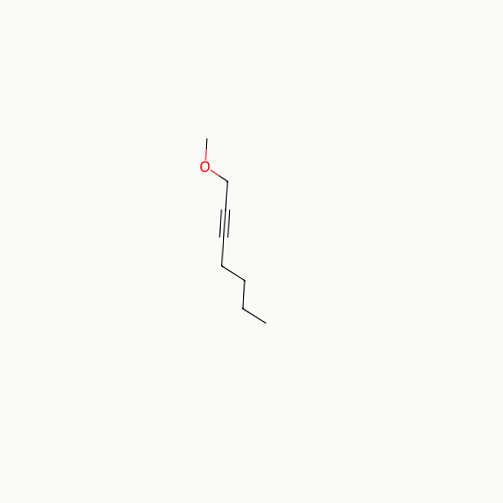 CCCCC#CCOC